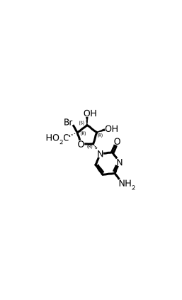 Nc1ccn([C@@H]2O[C@](Br)(C(=O)O)[C@@H](O)[C@H]2O)c(=O)n1